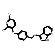 Cc1ccc(Oc2ccc(CSc3n[nH]c4ncccc34)cc2)c(Cl)n1